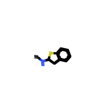 CCNC1Cc2ccccc2S1